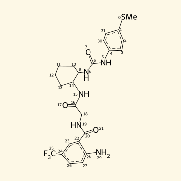 CSc1ccc(NC(=O)NC2CCCCC2NC(=O)CNC(=O)c2cc(C(F)(F)F)ccc2N)cc1